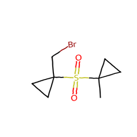 CC1(S(=O)(=O)C2(CBr)CC2)CC1